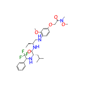 CC[C@@H](CNc1ccc(OCC(=O)N(C)OC)cc1OC)NC(=O)[C@H](CC(C)C)N[C@@H](c1ccccc1)C(F)(F)F